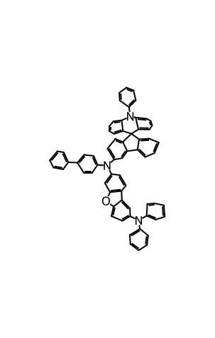 c1ccc(-c2ccc(N(c3ccc4c(c3)-c3ccccc3C43c4ccccc4N(c4ccccc4)c4ccccc43)c3ccc4c(c3)oc3ccc(N(c5ccccc5)c5ccccc5)cc34)cc2)cc1